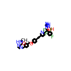 CNC(=O)c1nccn1Cc1ccc(COc2ccc(C#Cc3ccc(C(F)(F)C(O)(Cn4cnnn4)c4ccc(F)cc4F)nc3)cc2)cc1